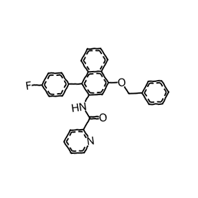 O=C(Nc1cc(OCc2ccccc2)c2ccccc2c1-c1ccc(F)cc1)c1ccccn1